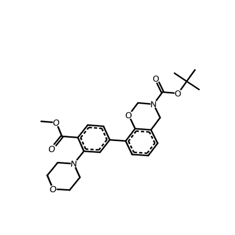 COC(=O)c1ccc(-c2cccc3c2OCN(C(=O)OC(C)(C)C)C3)cc1N1CCOCC1